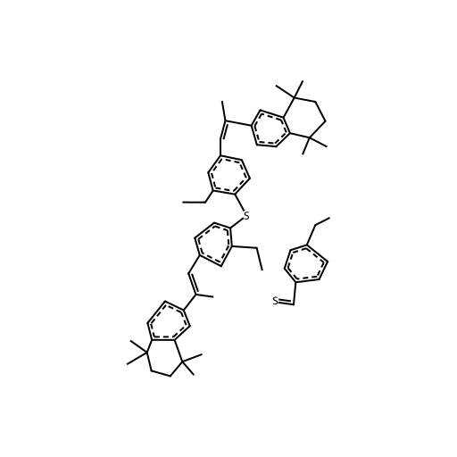 CCc1cc(C=C(C)c2ccc3c(c2)C(C)(C)CCC3(C)C)ccc1Sc1ccc(C=C(C)c2ccc3c(c2)C(C)(C)CCC3(C)C)cc1CC.CCc1ccc(C=S)cc1